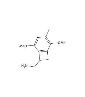 COc1cc(C)c(OC)c2c1C(CN)C2